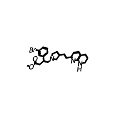 COC(=O)CC(CN1CCC(CCc2ccc3c(n2)NCCC3)C1)c1cccc(Br)c1